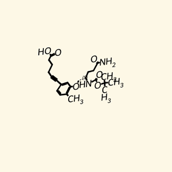 Cc1ccc(C#CCCCC(=O)O)cc1OC[C@H](CCC(N)=O)NC(=O)OC(C)(C)C